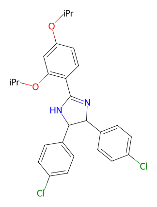 CC(C)Oc1ccc(C2=NC(c3ccc(Cl)cc3)C(c3ccc(Cl)cc3)N2)c(OC(C)C)c1